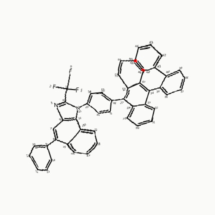 FC(F)(F)c1nc2cc(-c3ccccc3)c3ccccc3c2n1-c1ccc(-c2c3ccccc3c(-c3ccccc3-c3ccccc3)c3ccccc23)cc1